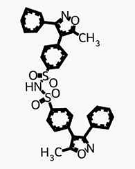 Cc1onc(-c2ccccc2)c1-c1ccc(S(=O)(=O)NS(=O)(=O)c2ccc(-c3c(-c4ccccc4)noc3C)cc2)cc1